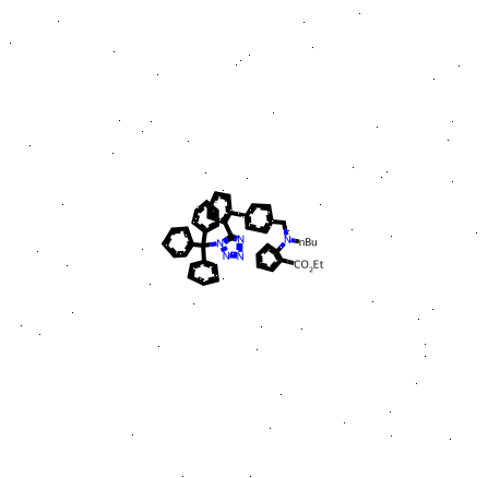 CCCCN(Cc1ccc(-c2ccccc2-c2nnnn2C(c2ccccc2)(c2ccccc2)c2ccccc2)cc1)c1ccccc1C(=O)OCC